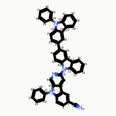 N#Cc1ccc2c(c1)c1cc(-n3c4ccccc4c4cc(-c5ccc6c(c5)c5ccccc5n6-c5ccccc5)ccc43)ncc1n2-c1ccccc1